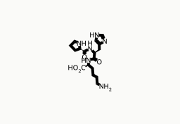 NCCCC[C@H](NC(=O)[C@H](Cc1c[nH]cn1)NC(=O)[C@@H]1CCCN1)C(=O)O